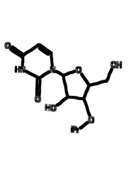 CC(C)OC1C(CO)OC(n2ccc(=O)[nH]c2=O)C1O